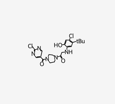 CC(C)(C)c1cc(NCC(=O)N2CCN(C(=O)c3cnc(Cl)nc3)CC2)c(O)cc1Cl